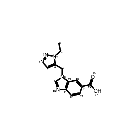 CCn1nncc1Cn1cnc2ccc(C(=O)O)cc21